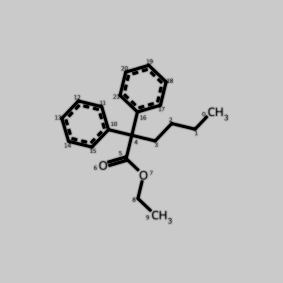 CCCCC(C(=O)OCC)(c1ccccc1)c1ccccc1